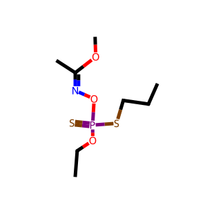 CCCSP(=S)(OCC)ON=C(C)OC